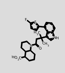 CC(C)(CC(=O)N1CCCC2C(C(=O)O)CCCC21)c1c[nH]c2cccc(-c3ccc(F)s3)c12